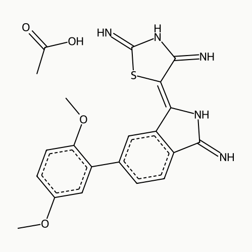 CC(=O)O.COc1ccc(OC)c(-c2ccc3c(c2)C(=C2SC(=N)NC2=N)NC3=N)c1